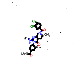 CCc1cc(C(=O)NC)ccc1-n1c(NC(C)C)nc2c(c1=O)C[C@@H](C)N(C(=O)c1ccc(Cl)c(Cl)c1)C2